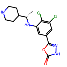 C[C@H](Nc1cc(-c2n[nH]c(=O)o2)cc(Cl)c1Cl)C1CCNCC1